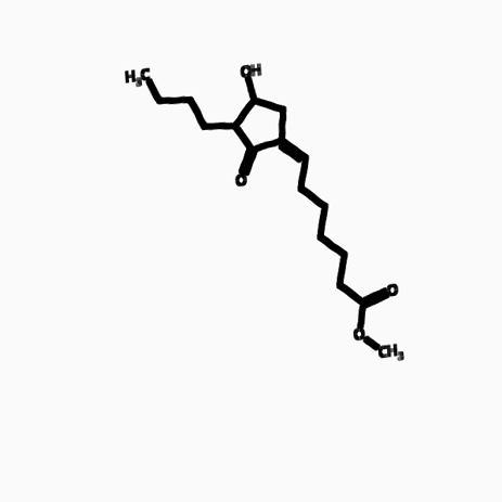 CCCCC1C(=O)C(=CCCCCCC(=O)OC)CC1O